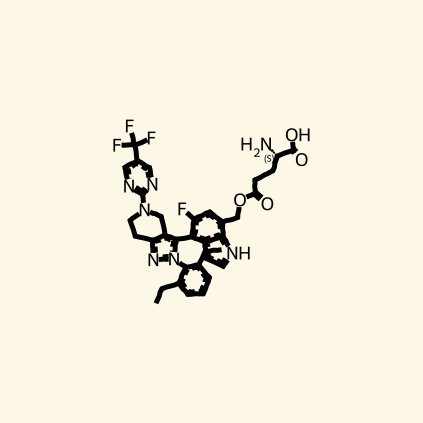 CCc1cccc(CC)c1-n1nc2c(c1-c1c(F)cc(COC(=O)CC[C@H](N)C(=O)O)c3[nH]ccc13)CN(c1ncc(C(F)(F)F)cn1)CC2